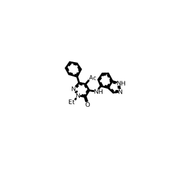 CCn1nc(-c2ccccc2)c(C(C)=O)c(Nc2cccc3[nH]ncc23)c1=O